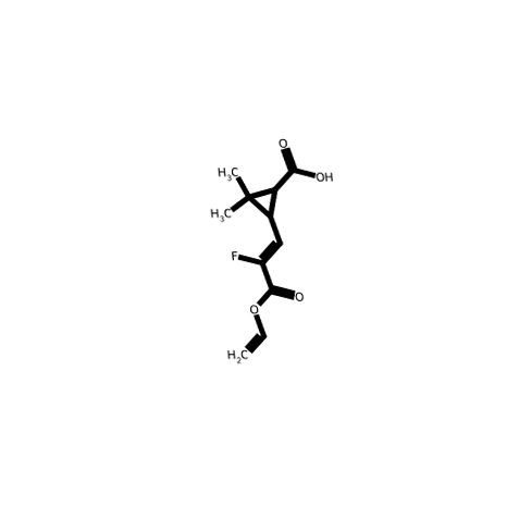 C=COC(=O)C(F)=CC1C(C(=O)O)C1(C)C